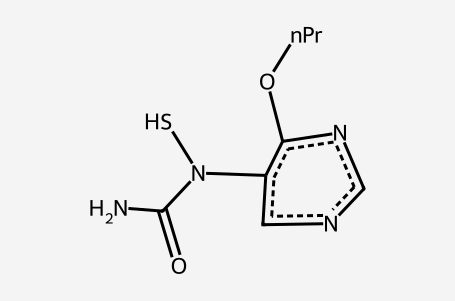 CCCOc1ncncc1N(S)C(N)=O